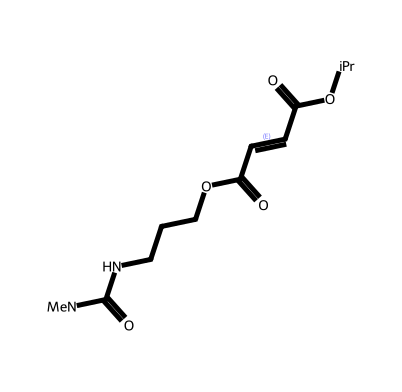 CNC(=O)NCCCOC(=O)/C=C/C(=O)OC(C)C